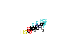 C=C(/C=C(F)\C(=C/C)c1cc(F)c(C(F)(F)F)c(F)c1)c1ccc(C2OCC(S)CO2)cc1F